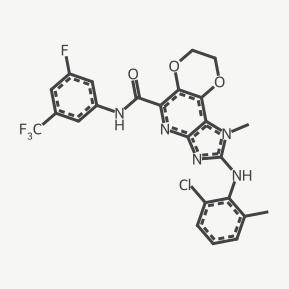 Cc1cccc(Cl)c1Nc1nc2nc(C(=O)Nc3cc(F)cc(C(F)(F)F)c3)c3c(c2n1C)OCCO3